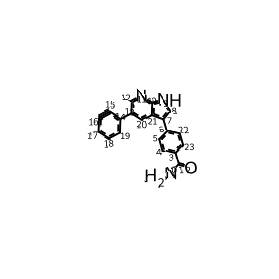 NC(=O)c1ccc(-c2c[nH]c3ncc(-c4c#cccc4)cc23)cc1